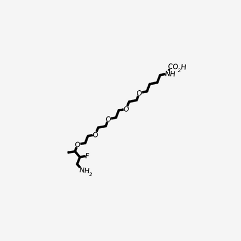 CC(OCCOCCOCCOCCOCCCCNC(=O)O)C(F)CN